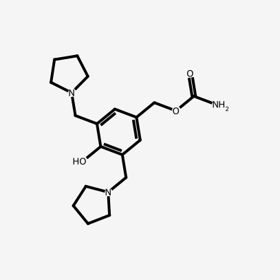 NC(=O)OCc1cc(CN2CCCC2)c(O)c(CN2CCCC2)c1